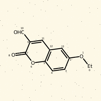 CCOc1ccc2oc(=O)c(C=O)cc2c1